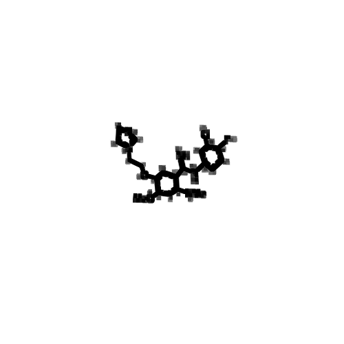 CNc1cc(OC)c(OCCn2ccnc2)cc1C(=N)Nc1ccc(F)c(Cl)c1